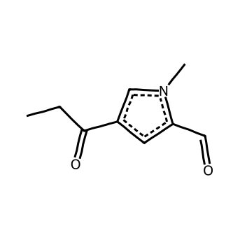 CCC(=O)c1cc(C=O)n(C)c1